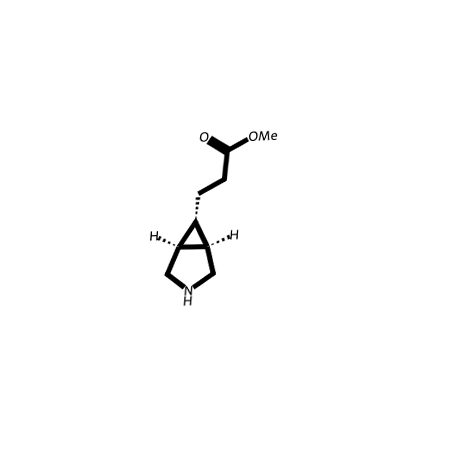 COC(=O)CC[C@@H]1[C@H]2CNC[C@@H]12